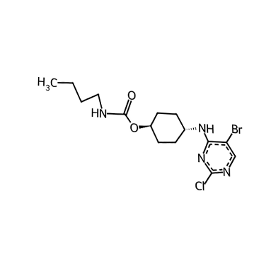 CCCCNC(=O)O[C@H]1CC[C@H](Nc2nc(Cl)ncc2Br)CC1